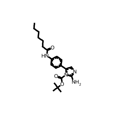 CCCCCCC(=O)Nc1ccc(-c2cnc(N)n2C(=O)OC(C)(C)C)cc1